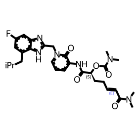 CC(C)Cc1cc(F)cc2nc(Cn3cccc(NC(=O)[C@H](CC/C=C/C(=O)N(C)C)OC(=O)N(C)C)c3=O)[nH]c12